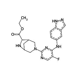 CCOC(=O)C1NC2CC1CN(c1ncc(F)c(Nc3ccc4[nH]ncc4c3)n1)C2